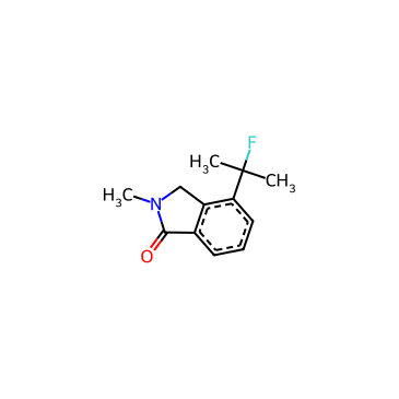 CN1Cc2c(cccc2C(C)(C)F)C1=O